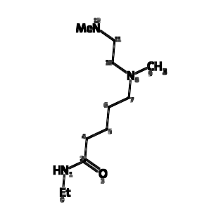 CCNC(=O)CCCCN(C)CCNC